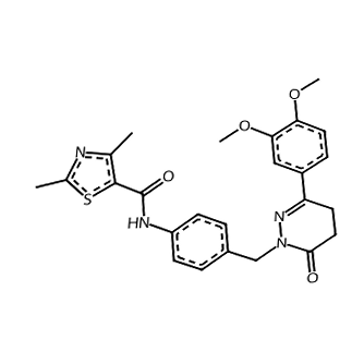 COc1ccc(C2=NN(Cc3ccc(NC(=O)c4sc(C)nc4C)cc3)C(=O)CC2)cc1OC